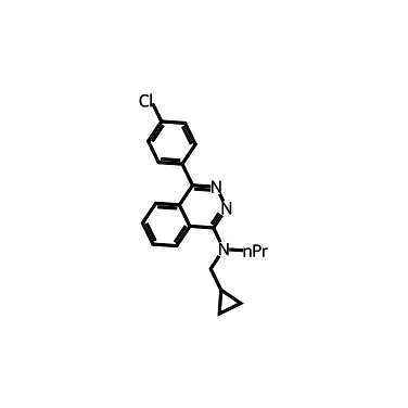 CCCN(CC1CC1)c1nnc(-c2ccc(Cl)cc2)c2ccccc12